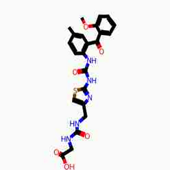 COc1ccccc1C(=O)c1cc(C)ccc1NC(=O)Nc1nc(CNC(=O)NCC(=O)O)cs1